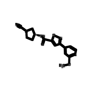 COc1cc(-c2cc(C(=O)N[C@@H]3CCN(C#N)C3)on2)ccn1